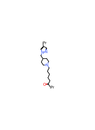 CC(C)C(=O)CCCCCN1CCC(Cn2cc(C(C)C)cn2)CC1